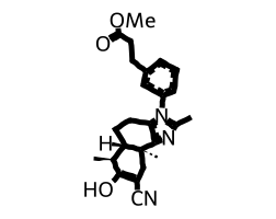 COC(=O)CCc1cccc(-n2c(C)nc3c2CC[C@H]2[C@H](C)C(O)=C(C#N)C[C@]32C)c1